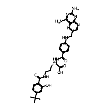 CC(C)(C)c1ccc(C(=O)NCCC[C@H](NC(=O)c2ccc(NCc3cnc4nc(N)nc(N)c4n3)cc2)C(=O)O)c(O)c1